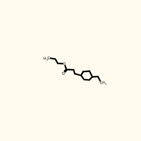 CCCOC(=O)CCC1CCC(CC)CC1